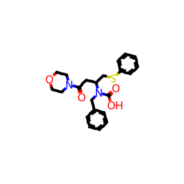 O=C(CC(CSc1ccccc1)N(Cc1ccccc1)C(=O)O)N1CCOCC1